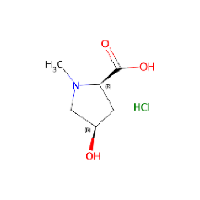 CN1C[C@H](O)C[C@@H]1C(=O)O.Cl